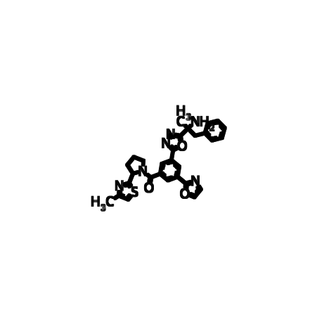 Cc1csc(C2CCCN2C(=O)c2cc(-c3ncco3)cc(-c3nnc(C(C)(N)Cc4ccccc4)o3)c2)n1